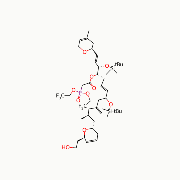 C=C(CC(/C=C/C[C@H](OC(=O)CP(=O)(OCC(F)(F)F)OCC(F)(F)F)[C@H](/C=C/[C@@H]1CC(C)=CCO1)O[Si](C)(C)C(C)(C)C)O[Si](C)(C)C(C)(C)C)C[C@H](C)C[C@@H]1CC=C[C@@H](CCO)O1